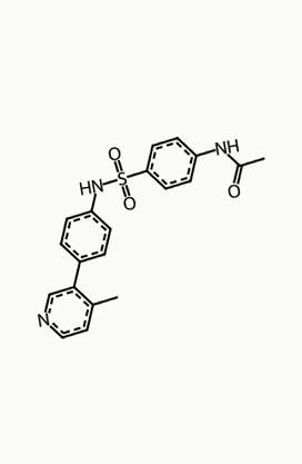 CC(=O)Nc1ccc(S(=O)(=O)Nc2ccc(-c3cnccc3C)cc2)cc1